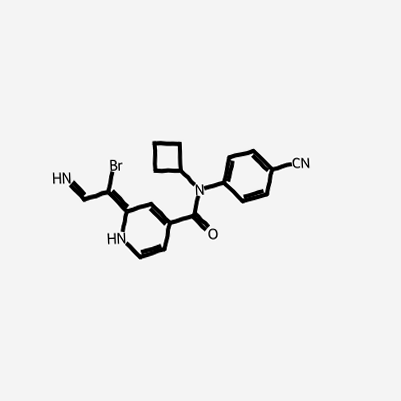 N#Cc1ccc(N(C(=O)C2=C/C(=C(\Br)C=N)NC=C2)C2CCC2)cc1